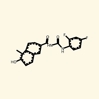 Cc1c(O)ccc2cc(C(=O)NC(=O)Nc3ccc(F)cc3F)ccc12